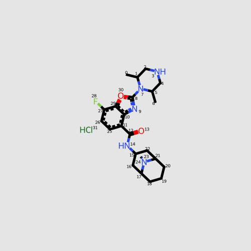 CC1CNCC(C)N1c1nc2c(C(=O)NC3CC4CCCC(C3)N4C)ccc(F)c2o1.Cl